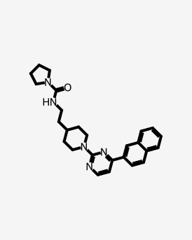 O=C(NCCC1CCN(c2nccc(-c3ccc4ccccc4c3)n2)CC1)N1CCCC1